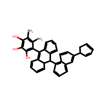 Bc1c(B)c(C2=C3C=CC=CC3C(c3cccc4cc(C5C=CC=CC5)ccc34)c3ccccc32)c(O)c(O)c1O